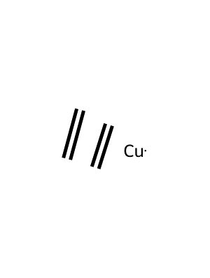 C=C.C=C.[Cu]